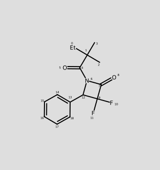 CCC(C)(C)C(=O)N1C(=O)C(F)(F)C1c1ccccc1